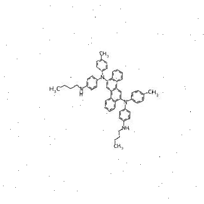 CCCCNc1ccc(N(c2ccc(C)cc2)c2cc3c4ccccc4c(N(c4ccc(C)cc4)c4ccc(NCCCC)cc4)cc3c3ccccc23)cc1